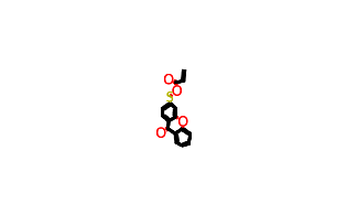 C=CC(=O)OSc1ccc2c(=O)c3ccccc3oc2c1